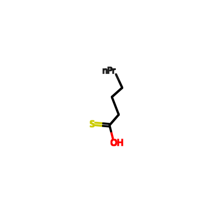 CCCCCCC(O)=S